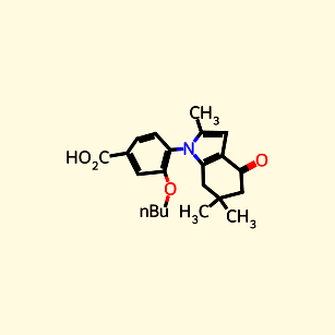 CCCCOc1cc(C(=O)O)ccc1-n1c(C)cc2c1CC(C)(C)CC2=O